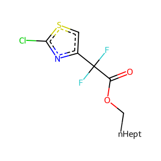 CCCCCCCCOC(=O)C(F)(F)c1csc(Cl)n1